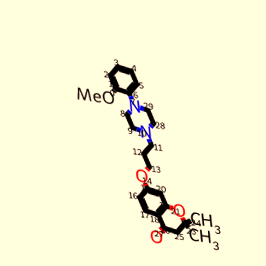 COc1ccccc1N1CCN(CCCOc2ccc3c(c2)OC(C)(C)CC3=O)CC1